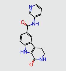 O=C(Nc1cccnc1)c1ccc2[nH]c3c(c2c1)CCNC3=O